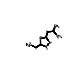 CCC1SSC(CC(C)C)S1